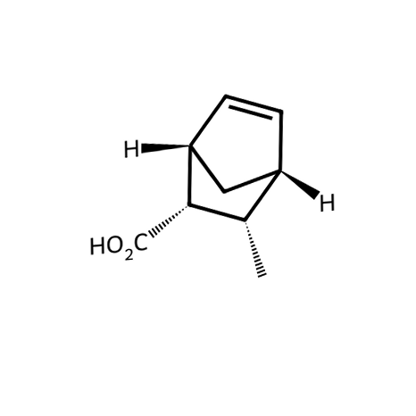 C[C@@H]1[C@H](C(=O)O)[C@@H]2C=C[C@H]1C2